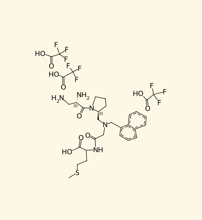 CSCCC(NC(=O)CN(Cc1cccc2ccccc12)C[C@@H]1CCCN1C(=O)[C@@H](N)CN)C(=O)O.O=C(O)C(F)(F)F.O=C(O)C(F)(F)F.O=C(O)C(F)(F)F